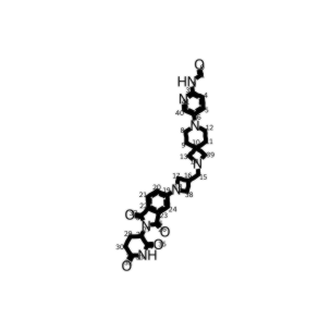 O=CNc1ccc(N2CCC3(CC2)CN(CC2CN(c4ccc5c(c4)C(=O)N(C4CCC(=O)NC4=O)C5=O)C2)C3)cn1